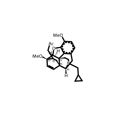 COc1ccc2c3c1O[C@H]1[C@@]4(OC)C=C[C@@]5(C[C@@H]4CC(C)=O)[C@@H](C2)N(CC2CC2)CC[C@]315